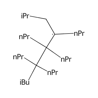 CCC[C](CC(C)C)C(CCC)(CCC)C(CCC)(CCC)C(C)CC